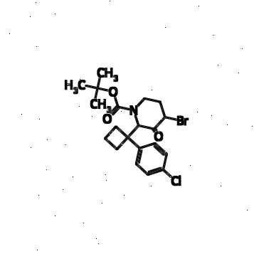 CC(C)(C)OC(=O)N1CCC(Br)C(=O)C1C1(c2ccc(Cl)cc2)CCC1